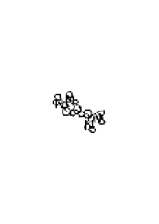 c1ccc2c(c1)CCCN2c1cc(Oc2ccc3c(c2)oc2cc(Oc4cc(N5CCCc6ccccc65)cc(-n5c6ccccc6c6ccccc65)c4)ccc23)cc(-n2c3ccccc3c3ccccc32)c1